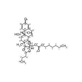 CCCCCCOC(=O)OCC(=O)[C@@]12OC(CCC)O[C@@H]1CC1C3CCC4=CC(=O)C=C[C@]4(C)[C@H]3[C@@H](O)C[C@@]12C